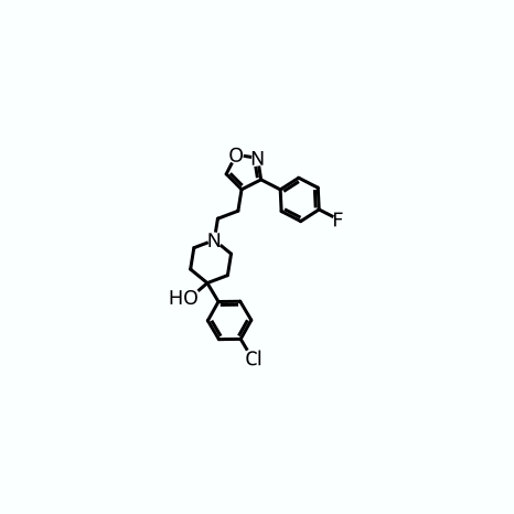 OC1(c2ccc(Cl)cc2)CCN(CCc2conc2-c2ccc(F)cc2)CC1